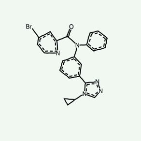 O=C(c1cc(Br)ccn1)N(c1ccccc1)c1cccc(-c2nncn2C2CC2)c1